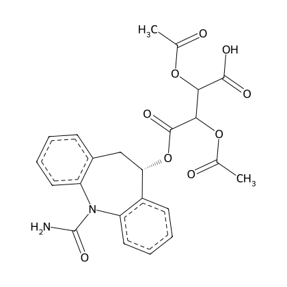 CC(=O)OC(C(=O)O)C(OC(C)=O)C(=O)O[C@H]1Cc2ccccc2N(C(N)=O)c2ccccc21